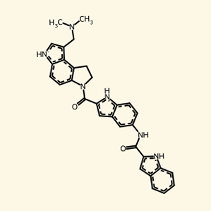 CN(C)Cc1c[nH]c2ccc3c(c12)CCN3C(=O)c1cc2cc(NC(=O)c3cc4ccccc4[nH]3)ccc2[nH]1